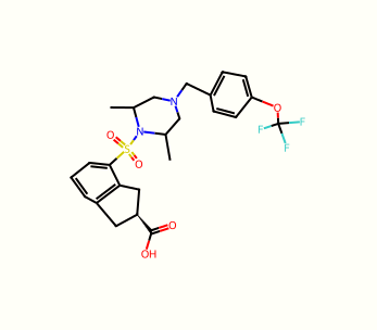 CC1CN(Cc2ccc(OC(F)(F)F)cc2)CC(C)N1S(=O)(=O)c1cccc2c1C[C@@H](C(=O)O)C2